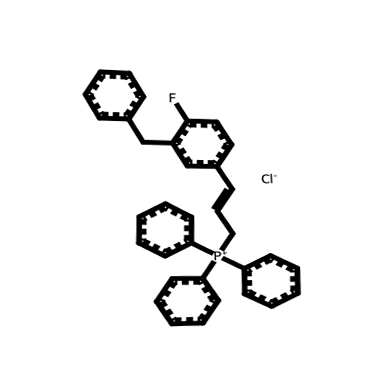 Fc1ccc(C=CC[P+](c2ccccc2)(c2ccccc2)c2ccccc2)cc1Cc1ccccc1.[Cl-]